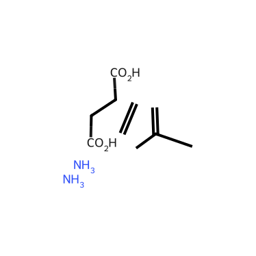 C=C.C=C(C)C.N.N.O=C(O)CCC(=O)O